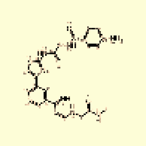 CNC(=O)CN/C=C\C(=N)c1cccc(-c2csc(NC(=O)CNC(=O)c3ccc(N)cc3)n2)c1